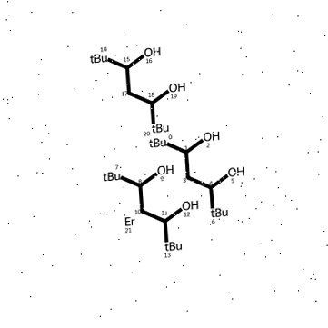 CC(C)(C)C(O)CC(O)C(C)(C)C.CC(C)(C)C(O)CC(O)C(C)(C)C.CC(C)(C)C(O)CC(O)C(C)(C)C.[Er]